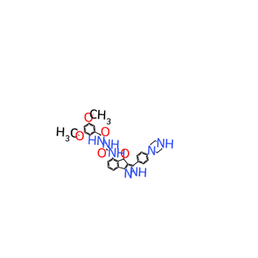 COc1cc(OC)cc(C(=O)NNC(=O)Nc2cccc3c2C(=O)c2c-3n[nH]c2-c2ccc(N3CCNCC3)cc2)c1